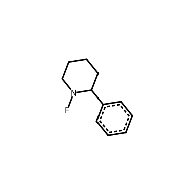 FN1CCCCC1c1ccccc1